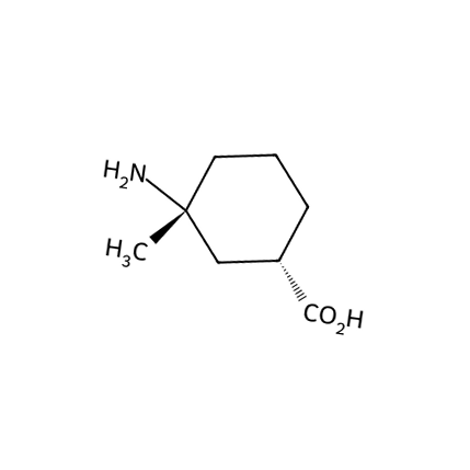 C[C@@]1(N)CCC[C@H](C(=O)O)C1